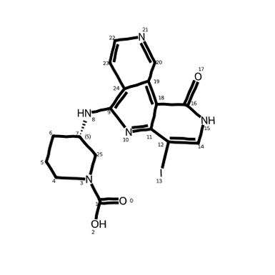 O=C(O)N1CCC[C@H](Nc2nc3c(I)c[nH]c(=O)c3c3cnccc23)C1